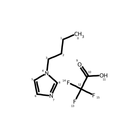 CCCCn1ccnc1.O=C(O)C(F)(F)F